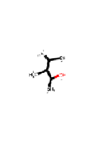 BC(O)C(C)C(CC)CCC